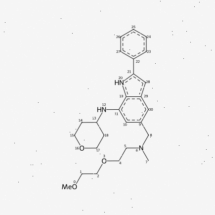 COCCOCCN(C)Cc1cc(NC2CCOCC2)c2[nH]c(-c3ccccc3)cc2c1